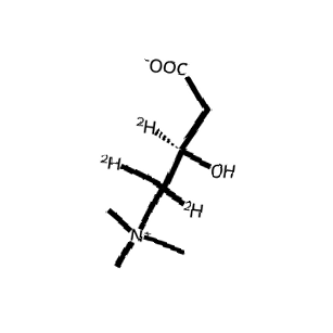 [2H]C([2H])([C@]([2H])(O)CC(=O)[O-])[N+](C)(C)C